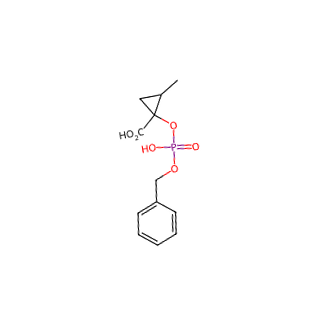 CC1CC1(OP(=O)(O)OCc1ccccc1)C(=O)O